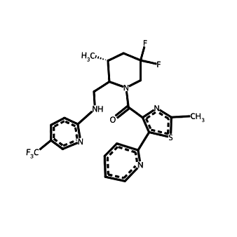 Cc1nc(C(=O)N2CC(F)(F)C[C@@H](C)C2CNc2ccc(C(F)(F)F)cn2)c(-c2ccccn2)s1